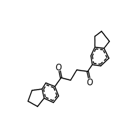 O=C(CCC(=O)c1ccc2c(c1)CCC2)c1ccc2c(c1)CCC2